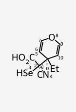 CCC1([C@]([SeH])(C#N)C(=O)O)C=COC=C1